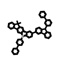 CC1(C)c2ccccc2-c2cc3c(cc21)c1cc(-c2ccc4c(c2)-c2ccccc2C4c2cccc(-c4ccccc4)c2)ccc1n3-c1ccc(-c2ccccc2)cc1